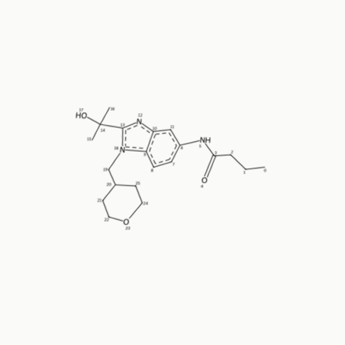 CCCC(=O)Nc1ccc2c(c1)nc(C(C)(C)O)n2CC1CCOCC1